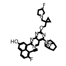 C#Cc1c(F)ccc2cc(O)cc(-c3ncc4c(N5CC6CCC(C5)N6)nc(OCC5(CN6CC[C@@H](F)C6)CC5)nc4n3)c12